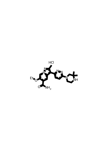 CCOc1cn2nc(C)c(-c3ccc(N4CCNC(C)(C)C4)nn3)c2cc1C(N)=O.Cl